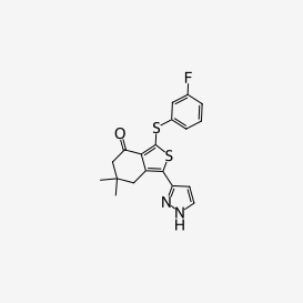 CC1(C)CC(=O)c2c(Sc3cccc(F)c3)sc(-c3cc[nH]n3)c2C1